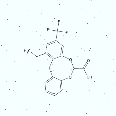 CCc1cc(C(F)(F)F)cc2c1Cc1ccccc1OC(C(=O)O)O2